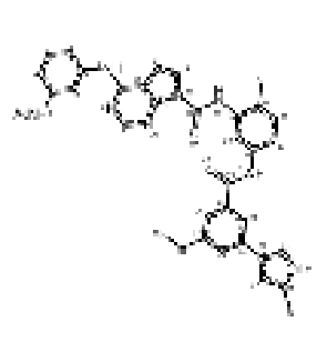 CC(=O)Nc1cccc(Nc2ncnc3c2ccn3C(=O)Nc2cc(NC(=O)c3cc(CF)cc(-n4cnc(C)c4)c3)ccc2C)c1